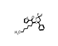 CCCCCCC(=C=C(CC(F)(F)F)c1ccccc1)C(=O)c1cccs1